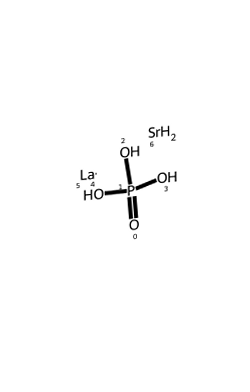 O=P(O)(O)O.[La].[SrH2]